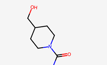 [NH]C(=O)N1CCC(CO)CC1